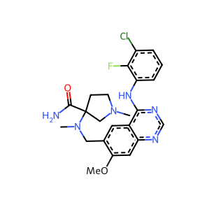 COc1cc2ncnc(Nc3cccc(Cl)c3F)c2cc1CN(C)C1(C(N)=O)CCN(C)C1